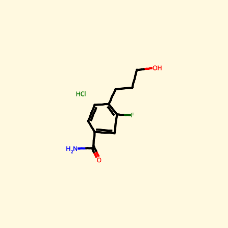 Cl.NC(=O)c1ccc(CCCO)c(F)c1